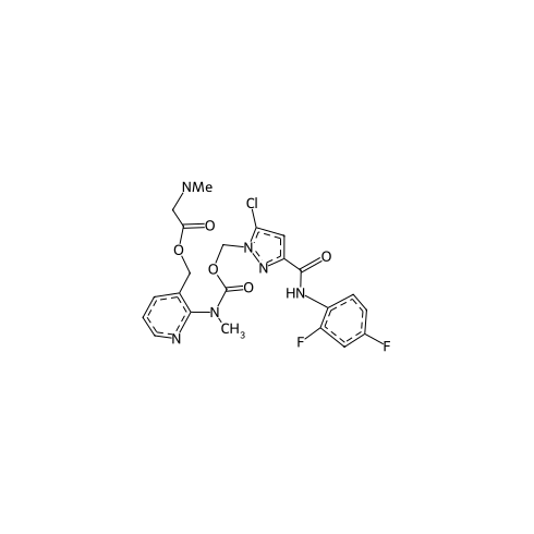 CNCC(=O)OCc1cccnc1N(C)C(=O)OCn1nc(C(=O)Nc2ccc(F)cc2F)cc1Cl